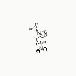 O=[N+]([O-])c1ccc2c(c1)ncn2C1CC1